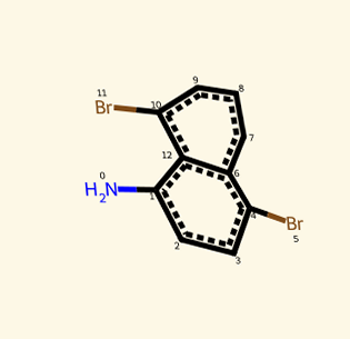 Nc1ccc(Br)c2cccc(Br)c12